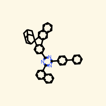 c1ccc(-c2ccc(-c3nc(-c4ccc5c(c4)-c4cc6ccccc6cc4C54C5CC6CC(C5)CC4C6)nc(-c4cccc5ccccc45)n3)cc2)cc1